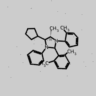 Cc1ccccc1N1C(c2c(C)cccc2C)N(c2ccccc2)C(C2CCCC2)[C@@H]1C